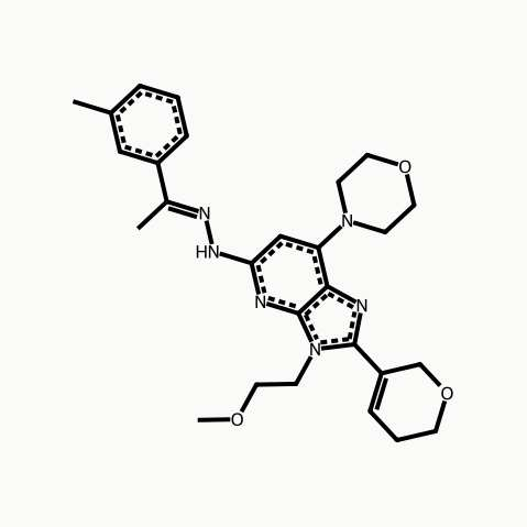 COCCn1c(C2=CCCOC2)nc2c(N3CCOCC3)cc(N/N=C(\C)c3cccc(C)c3)nc21